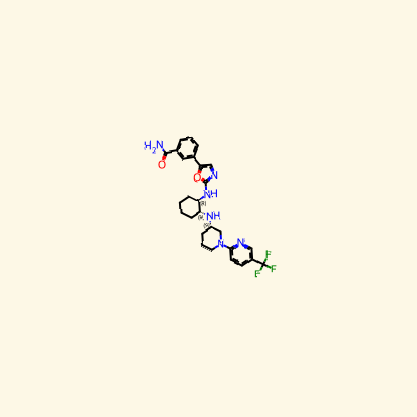 NC(=O)c1cccc(-c2cnc(N[C@@H]3CCCC[C@H]3N[C@H]3CCCN(c4ccc(C(F)(F)F)cn4)C3)o2)c1